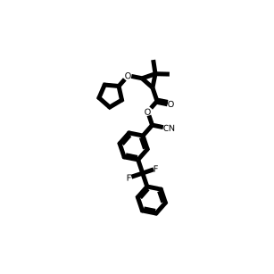 CC1(C)C(OC2CCCC2)C1C(=O)OC(C#N)c1cccc(C(F)(F)c2ccccc2)c1